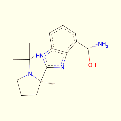 CC(C)(C)N1CCC[C@]1(C)c1nc2c([C@H](N)O)cccc2[nH]1